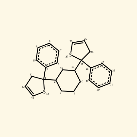 [CH]1CCC(C2(c3ccccc3)CC=CS2)CC1C1(c2ccccc2)CC=CS1